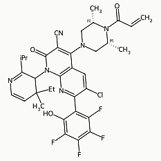 C=CC(=O)N1[C@H](C)CN(c2c(C#N)c(=O)n(C3C(C(C)C)=NC=CC3(C)CC)c3nc(-c4c(O)c(F)c(F)c(F)c4F)c(Cl)cc23)C[C@@H]1C